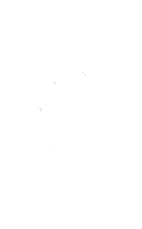 Cc1csc(-c2nc3n(c2-c2cc(C)cs2)CCC3)c1